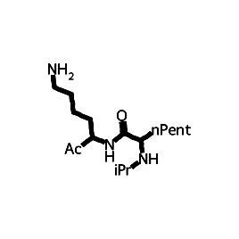 CCCCCC(NC(C)C)C(=O)NC(CCCCN)C(C)=O